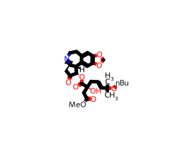 CCCCOC(C)(C)/C=C/C[C@@](O)(CC(=O)OC)C(=O)O[C@@H]1C(=O)C[C@]23CCCN2CCc2cc4c(cc2[C@H]13)OCO4